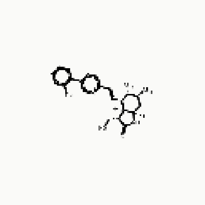 C[C@H]1[C@H](/C=C/c2ccc(-c3ccccc3C#N)cn2)[C@H]2[C@@H](C[C@@H]1C)NC(=O)[C@@H]2CO